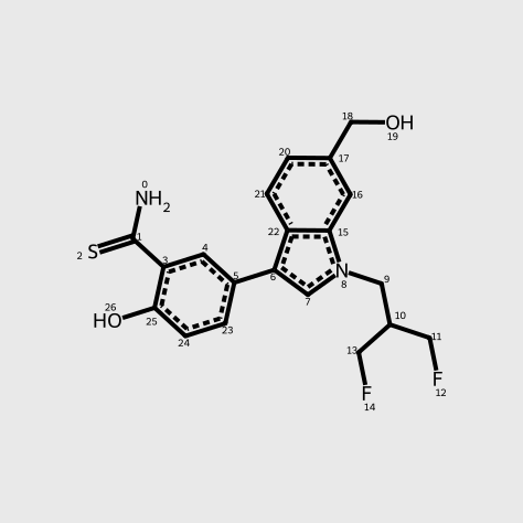 NC(=S)c1cc(-c2cn(CC(CF)CF)c3cc(CO)ccc23)ccc1O